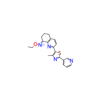 CCO/N=C1\CCCc2ccc(-c3sc(-c4cccnc4)nc3C)nc21